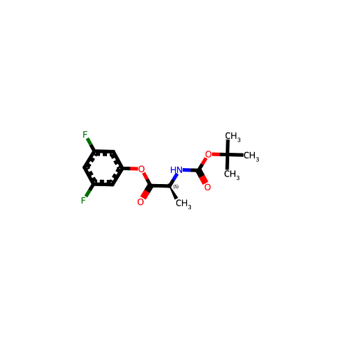 C[C@H](NC(=O)OC(C)(C)C)C(=O)Oc1cc(F)cc(F)c1